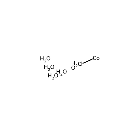 O.O.O.O.O.[Cl][Co]